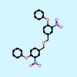 O=[N+]([O-])c1cc(COCc2ccc(Oc3ccccc3)c([N+](=O)[O-])c2)ccc1Oc1ccccc1